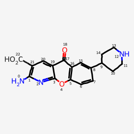 Nc1nc2oc3ccc(C4CCNCC4)cc3c(=O)c2cc1C(=O)O